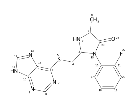 CC1NC(CSc2ncnc3[nH]cnc23)N(c2ccccc2F)C1=O